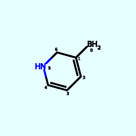 BC1=CC=CNC1